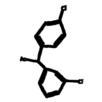 CC(=O)C(c1ccc(Cl)cc1)c1cccc(Cl)c1